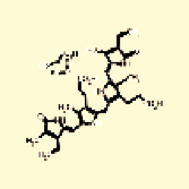 C=CC1=C(C)/C(=C/c2[nH]c(Cc3[nH]c(/C=C4\NC(=O)C(C)=C4C=C)c(C)c3CCC(=O)O)c(CCC(=O)O)c2C)NC1=O.CCOCC.O=C(O)CS